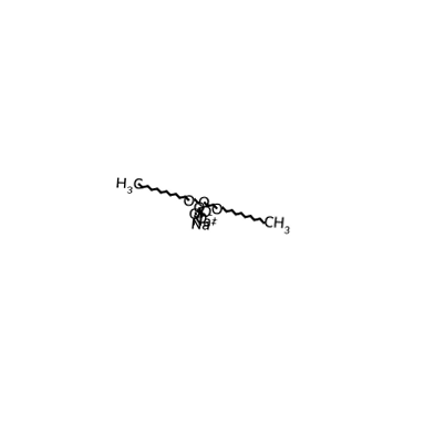 CCCCCCCCCCCOCCOCCOCCCCCCCCCCC.O=S(=O)([O-])[O-].[Na+].[Na+]